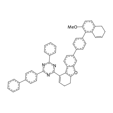 COc1ccc2c(c1-c1ccc(-c3ccc4c5c(oc4c3)CCC=C5c3nc(-c4ccccc4)nc(-c4ccc(-c5ccccc5)cc4)n3)cc1)C=CCC2